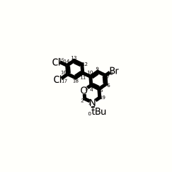 CC(C)(C)N1COc2c(cc(Br)cc2-c2ccc(Cl)c(Cl)c2)C1